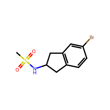 CS(=O)(=O)NC1Cc2ccc(Br)cc2C1